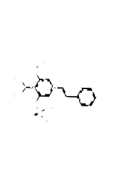 COc1cc(C=Cc2ccccc2)cc(OP(=O)(O)O)c1C(C)C